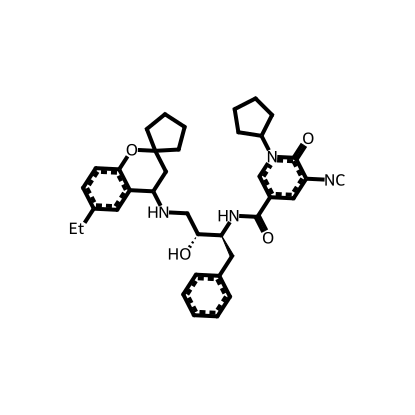 [C-]#[N+]c1cc(C(=O)N[C@@H](Cc2ccccc2)[C@H](O)CNC2CC3(CCCC3)Oc3ccc(CC)cc32)cn(C2CCCC2)c1=O